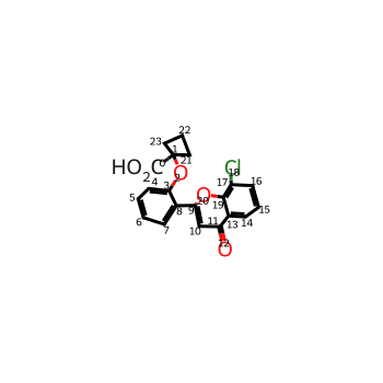 O=C(O)C1(Oc2ccccc2-c2cc(=O)c3cccc(Cl)c3o2)CCC1